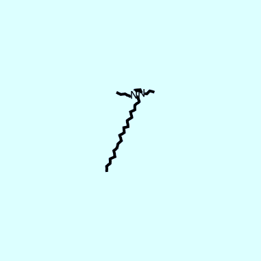 CCCCCCCCCCCCCCCCCCCC1N(CCC)C=CN1CCCC